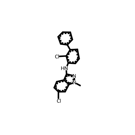 Cn1nc(Nc2cccc(-c3ccccc3)c2Cl)c2ccc(Cl)cc21